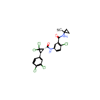 N#CC1(NC(=O)c2cc(NC(=O)[C@@H]3[C@@H](c4ccc(Cl)c(Cl)c4)C3(Cl)Cl)ccc2Cl)CC1